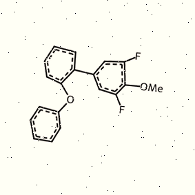 COc1c(F)cc(-c2ccccc2Oc2ccccc2)cc1F